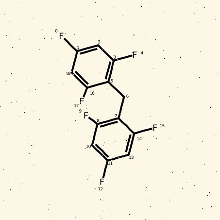 Fc1cc(F)c([CH]c2c(F)cc(F)cc2F)c(F)c1